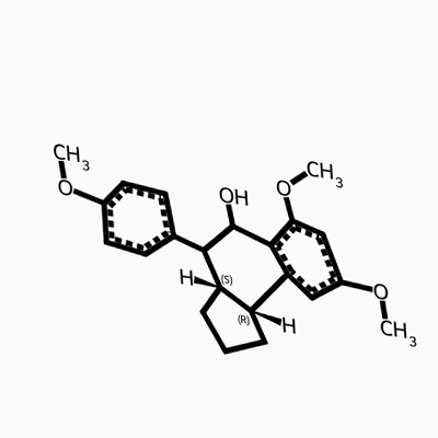 COc1ccc(C2C(O)c3c(OC)cc(OC)cc3[C@@H]3CCC[C@H]23)cc1